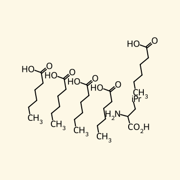 CC(C)CC(N)C(=O)O.CCCCCC(=O)O.CCCCCC(=O)O.CCCCCC(=O)O.CCCCCC(=O)O.CCCCCC(=O)O